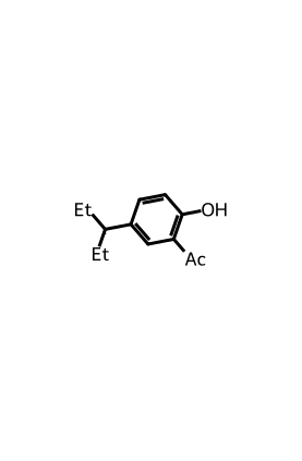 CC[C](CC)c1ccc(O)c(C(C)=O)c1